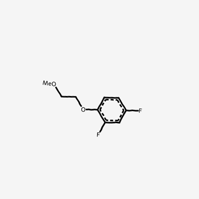 COCCOc1ccc(F)cc1F